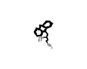 CCNC(CCN)Cc1c2ccccc2cc2ccccc12